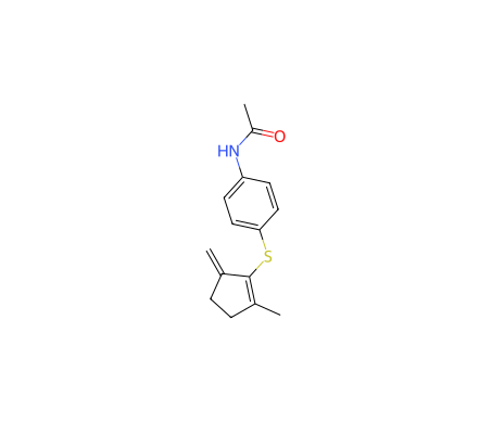 C=C1CCC(C)=C1Sc1ccc(NC(C)=O)cc1